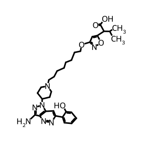 CC(C)C(C(=O)O)c1cc(OCCCCCCCCN2CCC(n3nc(N)c4nnc(-c5ccccc5O)cc43)CC2)no1